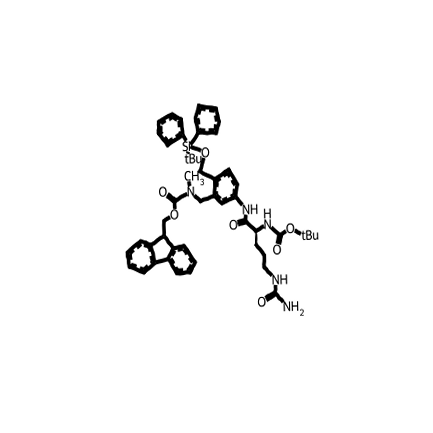 CN(Cc1cc(NC(=O)[C@H](CCCNC(N)=O)NC(=O)OC(C)(C)C)ccc1CO[Si](c1ccccc1)(c1ccccc1)C(C)(C)C)C(=O)OCC1c2ccccc2-c2ccccc21